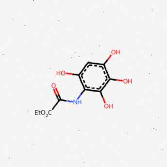 CCOC(=O)C(=O)Nc1c(O)cc(O)c(O)c1O